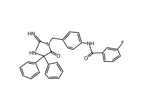 N=C1NC(c2ccccc2)(c2ccccc2)C(=O)N1Cc1ccc(NC(=O)c2cccc(F)c2)cc1